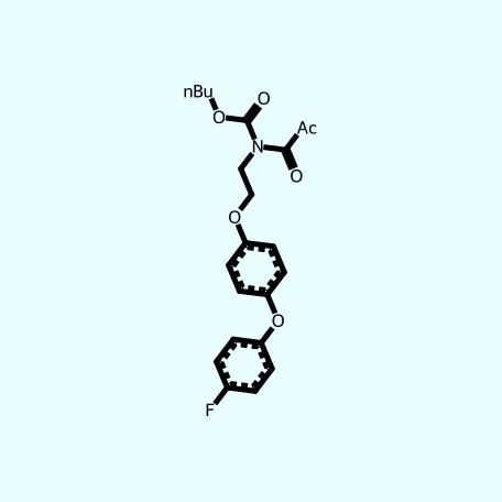 CCCCOC(=O)N(CCOc1ccc(Oc2ccc(F)cc2)cc1)C(=O)C(C)=O